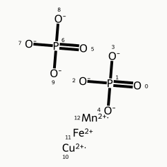 O=P([O-])([O-])[O-].O=P([O-])([O-])[O-].[Cu+2].[Fe+2].[Mn+2]